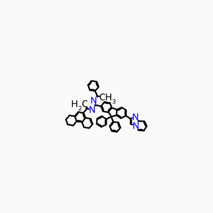 C=C(/N=C(\N=C(/C)c1ccccc1)c1ccc2c(c1)C(c1ccccc1)(c1ccccc1)c1cc(-c3cn4ccccc4n3)ccc1-2)c1cc2c(c3c1C=CCC3)CCCC2